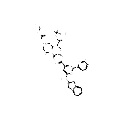 CCOC(=O)ON1CCN(C(=O)[C@H](CCC(=O)OC(C)(C)C)NC(=O)c2cc(NC3Cc4ccccc4C3)nc(-c3ccccc3)n2)CC1